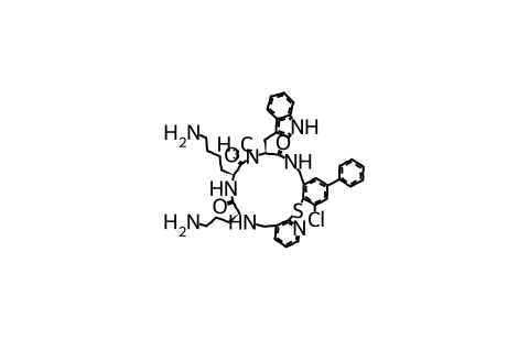 CN1C(=O)[C@H](CCCCN)NC(=O)[C@H](CCCN)NCc2cccnc2Sc2c(Cl)cc(-c3ccccc3)cc2CNC(=O)[C@@H]1Cc1c[nH]c2ccccc12